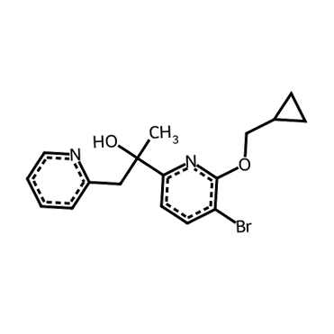 CC(O)(Cc1ccccn1)c1ccc(Br)c(OCC2CC2)n1